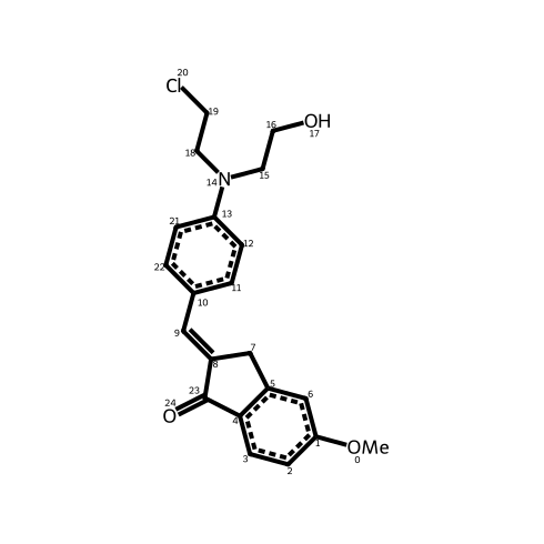 COc1ccc2c(c1)C/C(=C\c1ccc(N(CCO)CCCl)cc1)C2=O